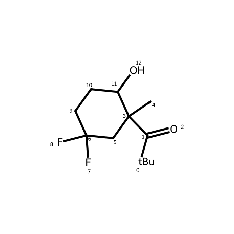 CC(C)(C)C(=O)C1(C)CC(F)(F)CCC1O